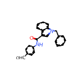 O=Cc1ccc(NC(=O)c2cn(Cc3ccccc3)c3ccccc23)cc1